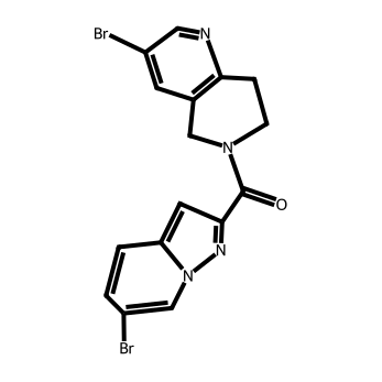 O=C(c1cc2ccc(Br)cn2n1)N1CCc2ncc(Br)cc2C1